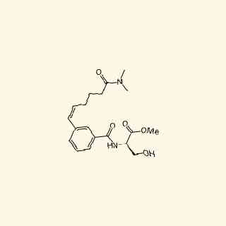 COC(=O)[C@@H](CO)NC(=O)c1cccc(/C=C\CCCC(=O)N(C)C)c1